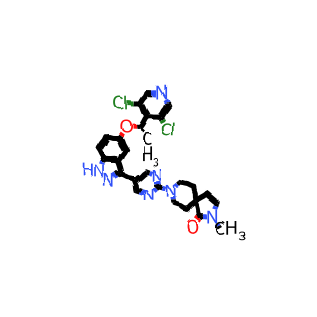 C[C@@H](Oc1ccc2[nH]nc(-c3cnc(N4CCC5(CCN(C)C5=O)CC4)nc3)c2c1)c1c(Cl)cncc1Cl